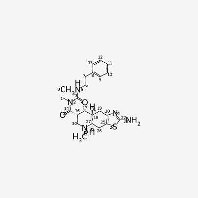 CCN(C(=O)NCCc1ccccc1)C(=O)[C@@H]1C[C@@H]2Cc3nc(N)sc3C[C@H]2N(C)C1